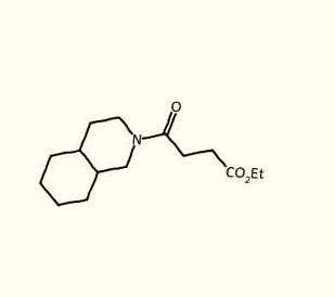 CCOC(=O)CCC(=O)N1CCC2CCCCC2C1